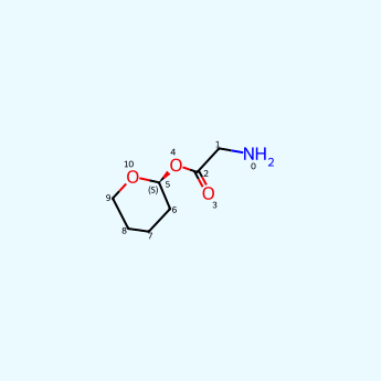 NCC(=O)O[C@H]1CCCCO1